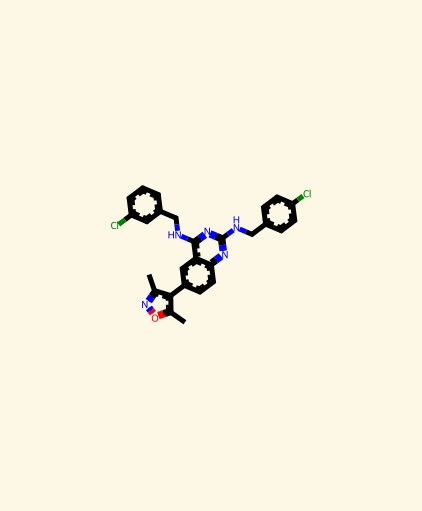 Cc1noc(C)c1-c1ccc2nc(NCc3ccc(Cl)cc3)nc(NCc3cccc(Cl)c3)c2c1